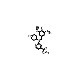 CCOc1cc(CN(c2nccc(C(=O)OC)n2)C2CCNCC2)cc(OCC)c1F